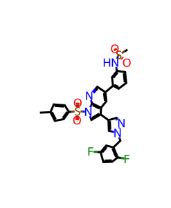 Cc1ccc(S(=O)(=O)n2cc(-c3cnn(Cc4cc(F)ccc4F)c3)c3cc(-c4cccc(NS(C)(=O)=O)c4)cnc32)cc1